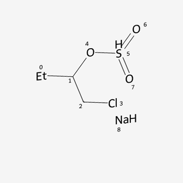 CCC(CCl)O[SH](=O)=O.[NaH]